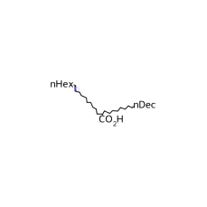 CCCCCC/C=C/CCCCCCCCC(CCCCCCCCCCCCCCCCCC)C(=O)O